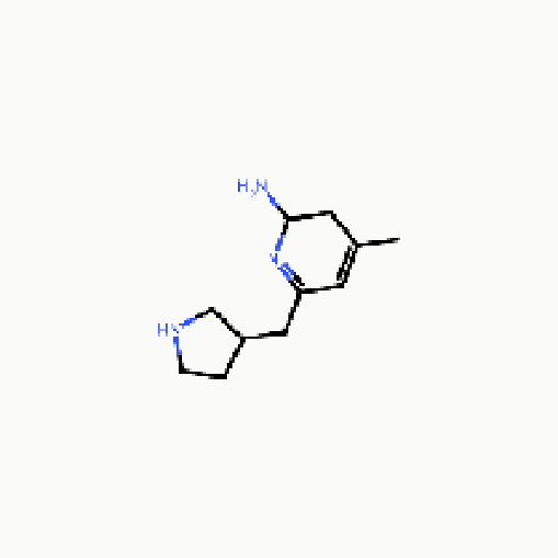 CC1=CC(C[C@H]2CCNC2)=NC(N)C1